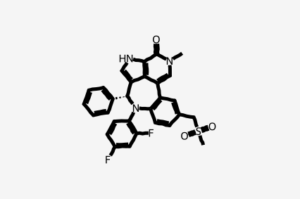 Cn1cc2c3c(c[nH]c3c1=O)[C@@H](c1ccccc1)N(c1ccc(F)cc1F)c1ccc(CS(C)(=O)=O)cc1-2